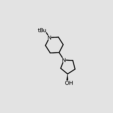 CC(C)(C)N1CCC(N2CC[C@@H](O)C2)CC1